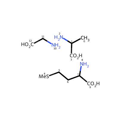 CC(N)C(=O)O.CSCCC(N)C(=O)O.NCC(=O)O